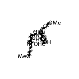 COCCOCCn1cc(-c2ccc(C(=O)Nc3cn(CCOCCOC)nc3-c3ccccn3)o2)cn1.O=CO